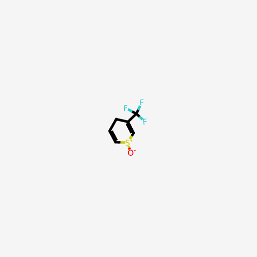 [O-][S+]1C=CCC(C(F)(F)F)=C1